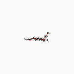 CC(C(=O)OCC(=O)OCC(=O)OCCOC(=O)COC(=O)COC(=O)CCc1ccc2cc(OC(=O)CCCCCBr)ccc2c1)c1ccc2cc(OC(=O)CCCCCBr)ccc2c1